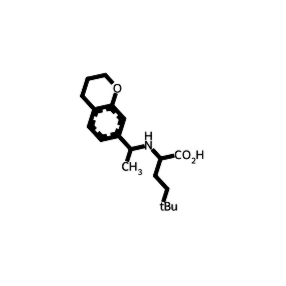 CC(NC(CCC(C)(C)C)C(=O)O)c1ccc2c(c1)OCCC2